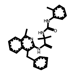 C=C(Nc1nc(C)c2ccccc2c1Cc1ccccc1)C(C)(C)NC(=O)Nc1ccccc1C